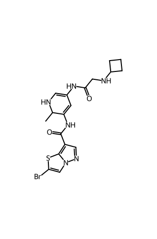 CC1NC=C(NC(=O)CNC2CCC2)C=C1NC(=O)c1cnn2cc(Br)sc12